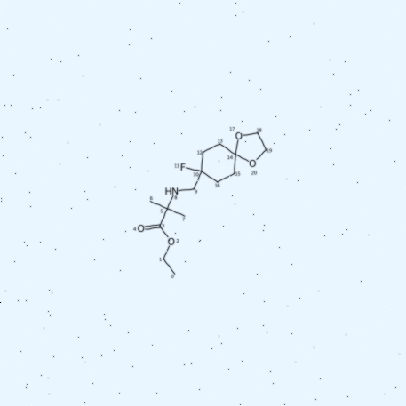 CCOC(=O)C(C)(C)NCC1(F)CCC2(CC1)OCCO2